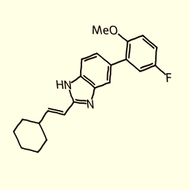 COc1ccc(F)cc1-c1ccc2[nH]c(C=CC3CCCCC3)nc2c1